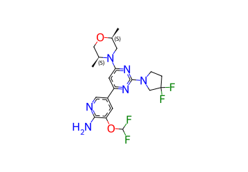 C[C@H]1CN(c2cc(-c3cnc(N)c(OC(F)F)c3)nc(N3CCC(F)(F)C3)n2)[C@@H](C)CO1